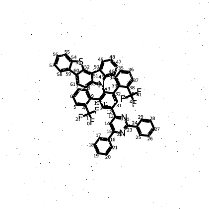 FC(F)(F)c1ccccc1-c1cc(-c2cc(-c3ccccc3)nc(-c3ccccc3)n2)cc(-c2ccccc2C(F)(F)F)c1-n1c2ccccc2c2c3sc4ccccc4c3ccc21